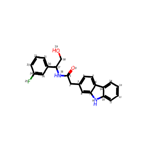 O=C(Cc1ccc2c(c1)[nH]c1ccccc12)NC(CO)c1cccc(F)c1